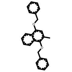 Cc1cc(OCc2ccccc2)c2ccccc2c1OCc1ccccc1